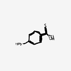 CCCc1ccc(C(O)=S)cc1